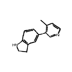 Cc1ccncc1-c1ccc2c(c1)CCN2